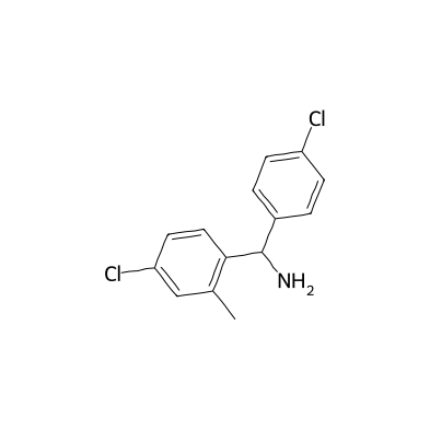 Cc1cc(Cl)ccc1C(N)c1ccc(Cl)cc1